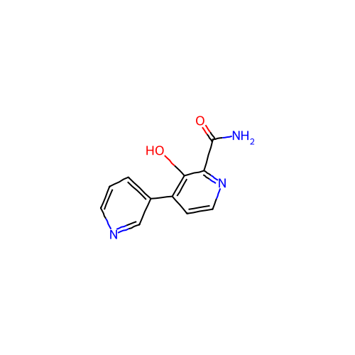 NC(=O)c1nccc(-c2cccnc2)c1O